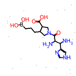 NC(C(=O)N1CC(CCCB(O)O)C(C(=O)O)C1)C(N)c1c[nH]cn1